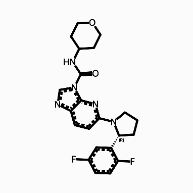 O=C(NC1CCOCC1)n1cnc2ccc(N3CCC[C@@H]3c3cc(F)ccc3F)nc21